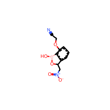 N#CCOc1cccc2c1B(O)OC2C[N+](=O)[O-]